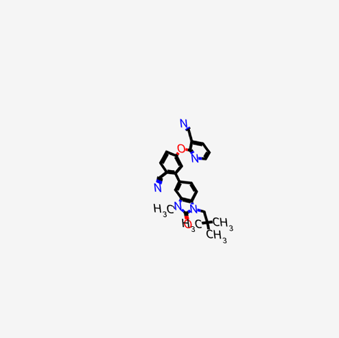 Cn1c(=O)n(CC(C)(C)C)c2ccc(-c3cc(Oc4ncccc4C#N)ccc3C#N)cc21